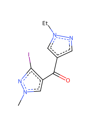 CCn1cc(C(=O)c2cn(C)nc2I)cn1